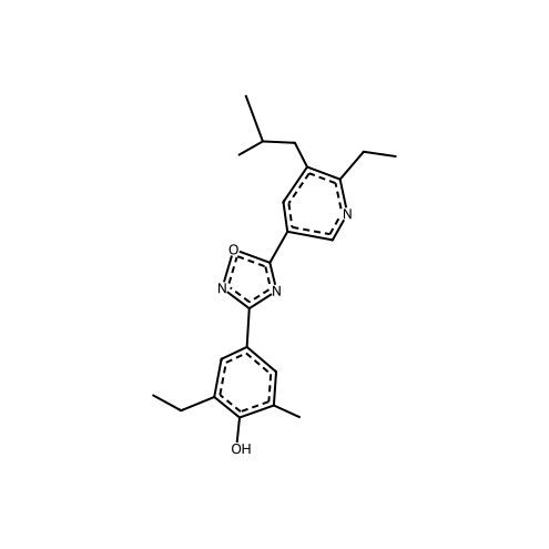 CCc1cc(-c2noc(-c3cnc(CC)c(CC(C)C)c3)n2)cc(C)c1O